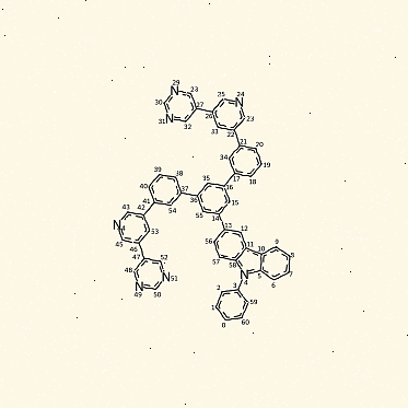 c1ccc(-n2c3ccccc3c3cc(-c4cc(-c5cccc(-c6cncc(-c7cncnc7)c6)c5)cc(-c5cccc(-c6cncc(-c7cncnc7)c6)c5)c4)ccc32)cc1